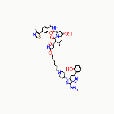 Cc1ncsc1-c1ccc([C@H](C)NC(=O)[C@@H]2C[C@@H](O)CN2C(=O)C(c2cc(OCCCCCCN3CCC(n4nc(N)c5nnc(-c6ccccc6O)cc54)CC3)no2)C(C)C)cc1